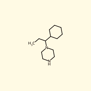 CCC(C1CCCCC1)N1CCNCC1